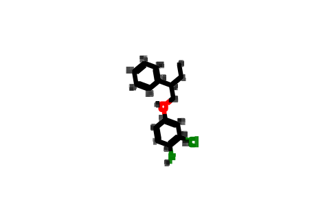 CCC(COc1ccc(F)c(Cl)c1)c1ccccc1